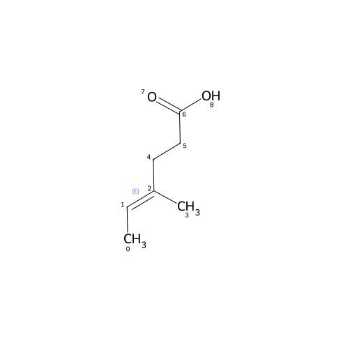 C/C=C(\C)CCC(=O)O